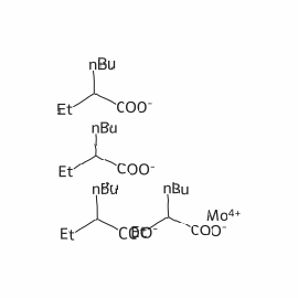 CCCCC(CC)C(=O)[O-].CCCCC(CC)C(=O)[O-].CCCCC(CC)C(=O)[O-].CCCCC(CC)C(=O)[O-].[Mo+4]